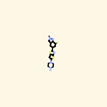 Cn1cc2cc(-c3nc4sc(N5CCNCC5)cc4s3)cc(F)c2n1